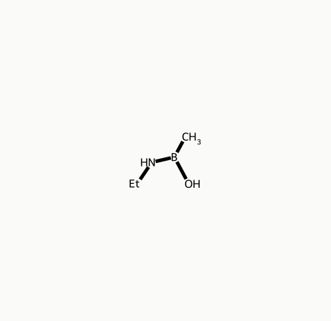 CCNB(C)O